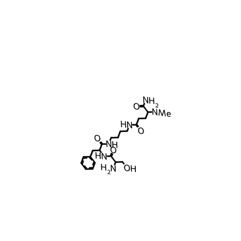 CNC(CCC(=O)NCCCCNC(=O)C(Cc1ccccc1)NC(=O)C(N)CO)C(N)=O